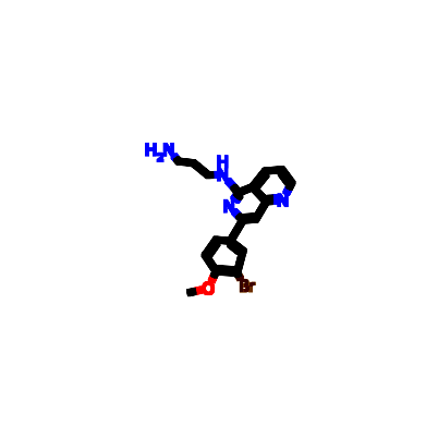 COc1ccc(-c2cc3ncccc3c(NCCCN)n2)cc1Br